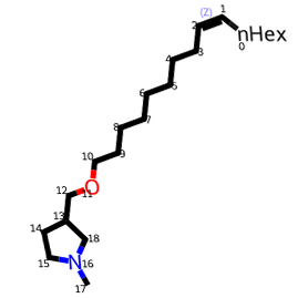 CCCCCC/C=C\CCCCCCCCOCC1CCN(C)C1